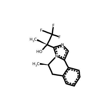 C[C@@H]1Cc2ccccc2-c2cnc([C@](C)(O)C(F)(F)F)n21